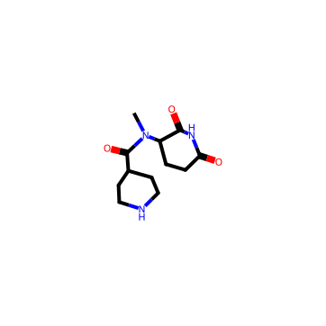 CN(C(=O)C1CCNCC1)C1CCC(=O)NC1=O